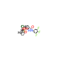 CC(=O)OC[C@]1(O)CC2CC[C@@H](C1)[C@H]2S(=O)(=O)c1cc(C(=O)Nc2cc(F)c(F)c(F)c2)ccc1Cl